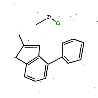 CC1=Cc2c(cccc2-c2ccccc2)[CH]1.[CH3][Zr][Cl]